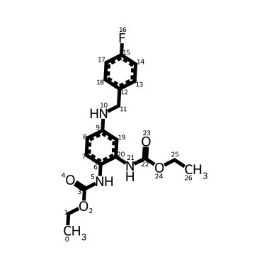 CCOC(=O)Nc1ccc(NCc2ccc(F)cc2)cc1NC(=O)OCC